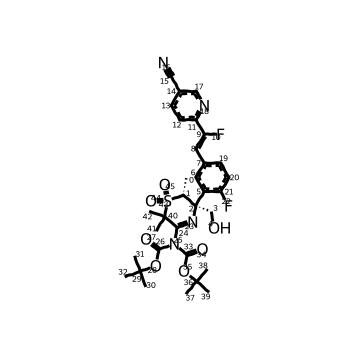 C[C@@H]1[C@@](CO)(c2cc(/C=C(\F)c3ccc(C#N)cn3)ccc2F)N=C(N(C(=O)OC(C)(C)C)C(=O)OC(C)(C)C)C(C)(C)S1(=O)=O